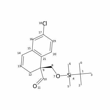 CC(C)(C)[Si](C)(C)OC[C@@]1(C=O)CC=Cc2cc(Cl)ccc21